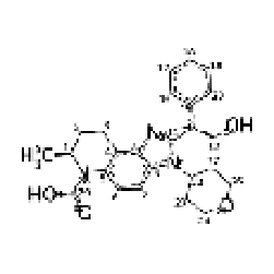 C[C@H]1CCc2c(ccc3c2nc([C@H](CO)c2ccccc2)n3C2CCOCC2)N1C(=O)O